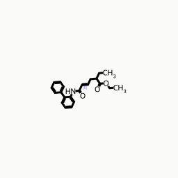 CCOC(=O)C(CC)C/C=C/C(=O)Nc1ccccc1-c1ccccc1